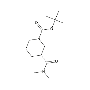 CN(C)C(=O)[C@@H]1CCCN(C(=O)OC(C)(C)C)C1